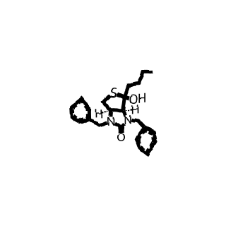 CCCCC1(O)SC[C@H]2[C@@H]1N(Cc1ccccc1)C(=O)N2Cc1ccccc1